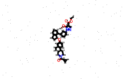 CCOC(=O)c1cnn(-c2cccc(-c3cccc4c3[C@@H](Oc3ccc(C5CCN(C(=O)C6CC6)CC5)c(CC)c3)CC4)c2)c1OC